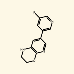 Fc1cncc(-c2cnc3c(c2)NCCO3)c1